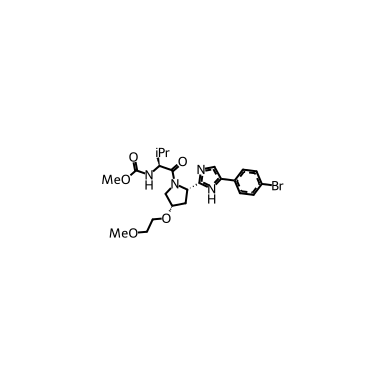 COCCO[C@H]1C[C@@H](c2ncc(-c3ccc(Br)cc3)[nH]2)N(C(=O)[C@@H](NC(=O)OC)C(C)C)C1